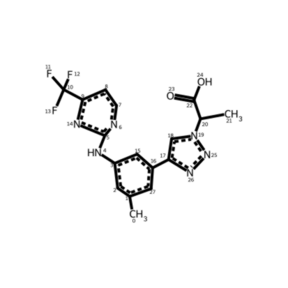 Cc1cc(Nc2nccc(C(F)(F)F)n2)cc(-c2cn(C(C)C(=O)O)nn2)c1